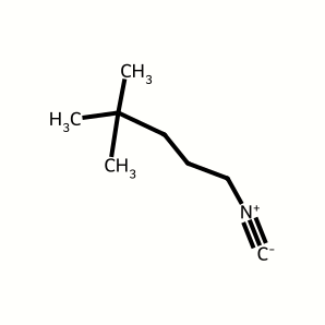 [C-]#[N+]CCCC(C)(C)C